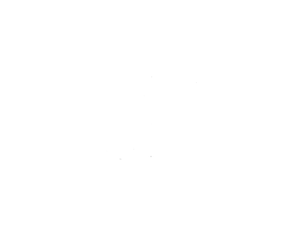 C=CC1OCC(C2COC(C=C)O2)O1